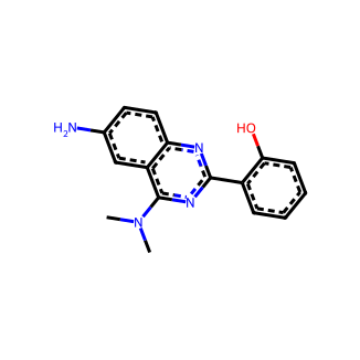 CN(C)c1nc(-c2ccccc2O)nc2ccc(N)cc12